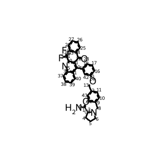 NC(=O)[C@@H]1CCCN1Cc1ccc(COc2cccc(-c3c(C(=O)c4ccccc4)c(C(F)(F)F)nc4ccccc34)c2)cc1